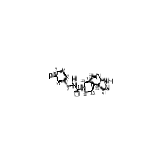 O=C(NCc1cccc(F)c1)N1CCc2c(cnc3[nH]ncc23)C1